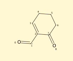 O=[C]C1=CCCCC1=O